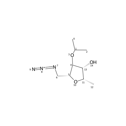 CC(C)OC1[C@@H](CN=[N+]=[N-])O[C@@H](C)[C@H]1O